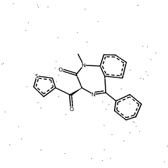 CN1C(=O)[C@H](C(=O)c2ccsc2)N=C(c2ccccc2)c2ccccc21